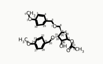 COc1ccc(COC[C@H]2SC(OC(C)=O)[C@@H](O)[C@@H]2OCc2ccc(OC)cc2)cc1